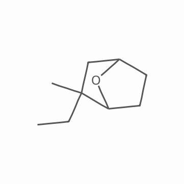 CCC1(C)CC2CCC1O2